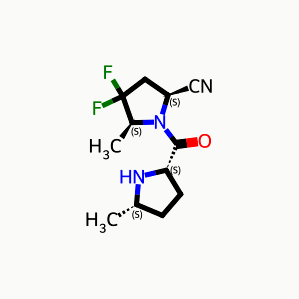 C[C@@H]1N(C(=O)[C@@H]2CC[C@H](C)N2)[C@H](C#N)CC1(F)F